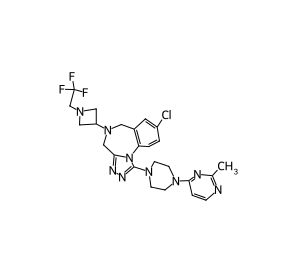 Cc1nccc(N2CCN(c3nnc4n3-c3ccc(Cl)cc3CN(C3CN(CC(F)(F)F)C3)C4)CC2)n1